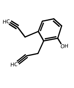 C#CCc1cccc(O)c1CC#C